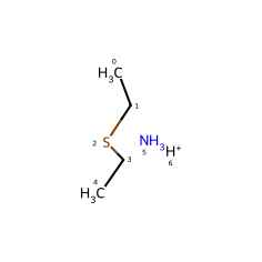 CCSCC.N.[H+]